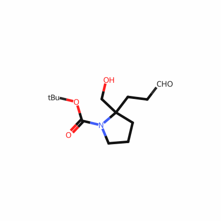 CC(C)(C)OC(=O)N1CCCC1(CO)CCC=O